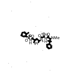 CNC(C(=O)NC(C(=O)N(C)C(/C=C(\C)C(=O)NS(=O)(=O)c1ccccc1C)C(C)C)C(C)(C)C)C(C)(C)c1ccccc1